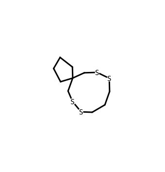 C1CSSCC2(CCCC2)CSSC1